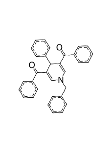 O=C(C1=CN(Cc2ccccc2)C=C(C(=O)c2ccccc2)C1c1ccccc1)c1ccccc1